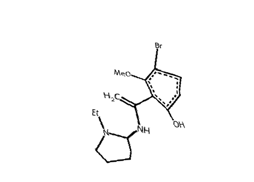 C=C(NC1CCCN1CC)c1c(O)ccc(Br)c1OC